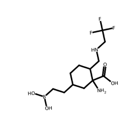 NC1(C(=O)O)CC(CCB(O)O)CCC1CNCC(F)(F)F